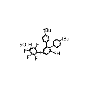 CC(C)(C)c1ccc(-c2cccc(S)c2-c2ccc(C(C)(C)C)cc2)cc1.O=S(=O)(O)c1c(F)c(F)c(F)c(F)c1F